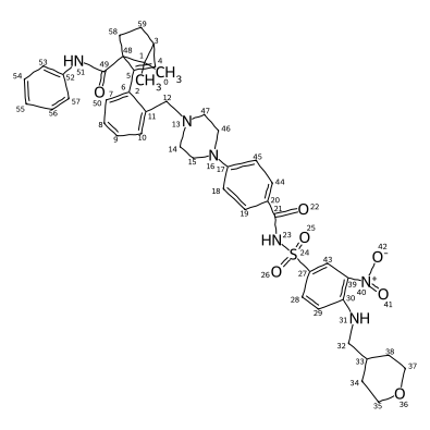 CC1(C)C2C=C(c3ccccc3CN3CCN(c4ccc(C(=O)NS(=O)(=O)c5ccc(NCC6CCOCC6)c([N+](=O)[O-])c5)cc4)CC3)C1(C(=O)Nc1ccccc1)CC2